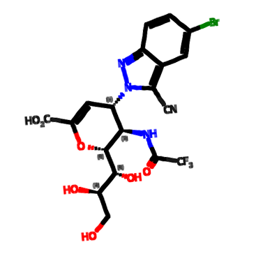 N#Cc1c2cc(Br)ccc2nn1[C@H]1C=C(C(=O)O)O[C@@H]([C@H](O)[C@H](O)CO)[C@@H]1NC(=O)C(F)(F)F